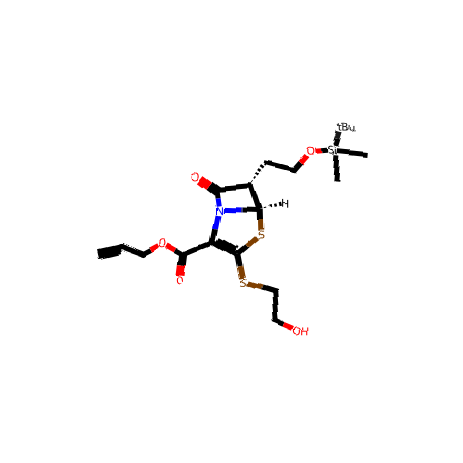 C=CCOC(=O)C1=C(SCCO)S[C@@H]2[C@@H](CCO[Si](C)(C)C(C)(C)C)C(=O)N12